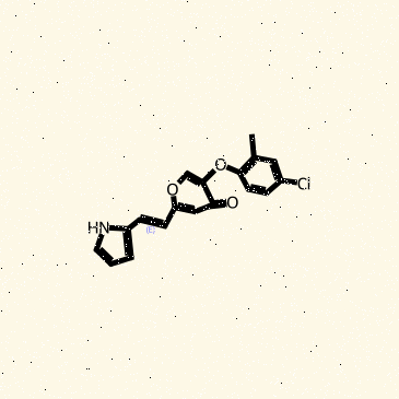 Cc1cc(Cl)ccc1Oc1coc(/C=C/c2ccc[nH]2)cc1=O